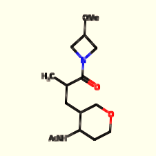 COC1CN(C(=O)C(C)CC2COCCC2NC(C)=O)C1